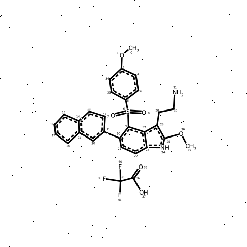 COc1ccc(S(=O)(=O)c2c(-c3ccc4ccccc4c3)ccc3[nH]c(OC)c(CCN)c23)cc1.O=C(O)C(F)(F)F